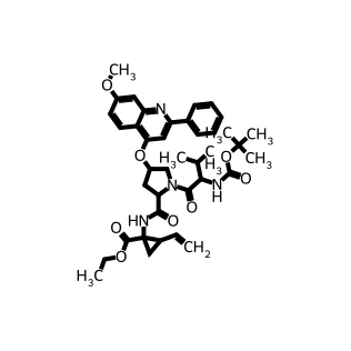 C=CC1CC1(NC(=O)C1CC(Oc2cc(-c3ccccc3)nc3cc(OC)ccc23)CN1C(=O)C(NC(=O)OC(C)(C)C)C(C)C)C(=O)OCC